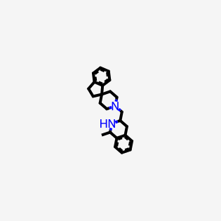 CC1NC(CN2CCC3(CCc4ccccc43)CC2)Cc2ccccc21